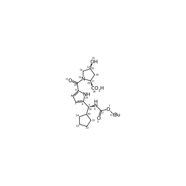 CC(C)(C)OC(=O)N[C@H](c1ccc(C(=O)N2C[C@@H](O)C[C@H]2C(=O)O)[nH]1)C1CCCC1